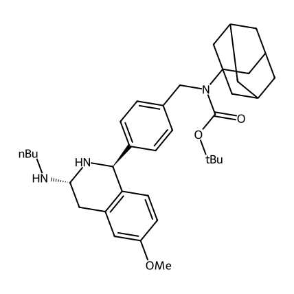 CCCCN[C@H]1Cc2cc(OC)ccc2[C@H](c2ccc(CN(C(=O)OC(C)(C)C)C34CC5CC(CC(C5)C3)C4)cc2)N1